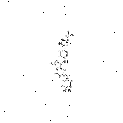 Cl.O=C(Nc1ccc(-c2nnc(C3CC3)o2)cc1)c1cccc(CN2CCS(=O)(=O)CC2)c1